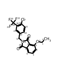 CCOc1cccc2c1C(=O)N(Cc1ccc(Cl)c(C(F)(F)F)c1)C2=O